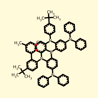 Cc1cc(C)cc(-c2cc(C(C)(C)C)ccc2N2c3cc(N(c4ccccc4)c4ccccc4)ccc3B3c4ccc(N(c5ccccc5)c5ccccc5)cc4N(c4ccc(C(C)(C)C)cc4)c4cccc2c43)c1